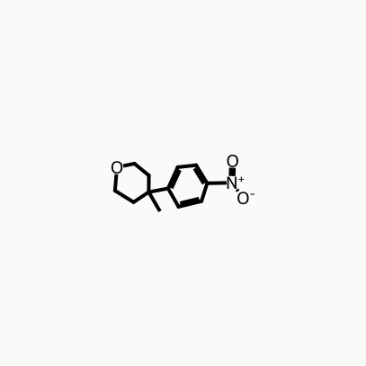 CC1(c2ccc([N+](=O)[O-])cc2)CCOCC1